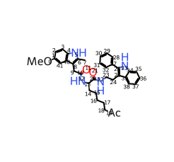 COc1ccc2[nH]c(C)c(CC(=O)N[C@H](CCCCCC(C)=O)C(=O)NCCc3c(-c4ccccc4)[nH]c4ccccc34)c2c1